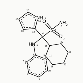 NS(=O)(=O)C(Nc1ncccn1)(c1ccc[nH]1)C1CCCCC1